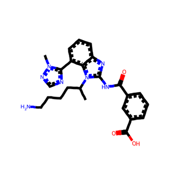 CC(CCCCN)n1c(NC(=O)c2cccc(C(=O)O)c2)nc2cccc(-c3ncnn3C)c21